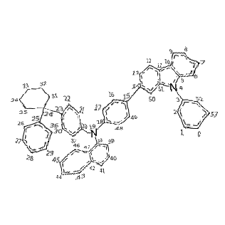 c1ccc(-n2c3ccccc3c3ccc(-c4ccc(N(c5ccc(C6(c7ccccc7)CCCCC6)cc5)c5cccc6ccccc56)cc4)cc32)cc1